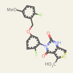 COc1ccc(F)c(COc2ccc(F)c(-n3c(=O)[nH]c4csc(C(=O)O)c4c3=O)c2)c1